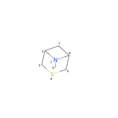 CN1C2CSCC1C2